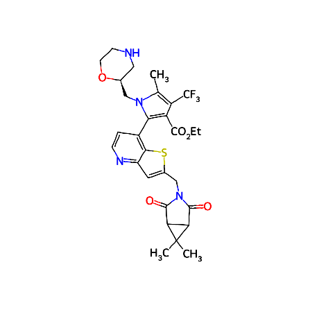 CCOC(=O)c1c(C(F)(F)F)c(C)n(C[C@@H]2CNCCO2)c1-c1ccnc2cc(CN3C(=O)C4C(C3=O)C4(C)C)sc12